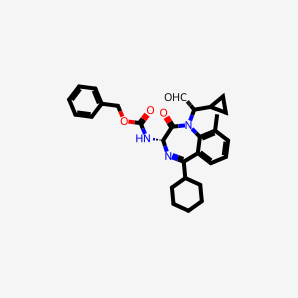 Cc1cccc2c1N(C(C=O)C1CC1)C(=O)[C@@H](NC(=O)OCc1ccccc1)N=C2C1CCCCC1